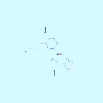 Cc1nc([C@H](NC(=O)c2ccc(C3CC3)c(OCC3CC3)n2)C2CC2)no1